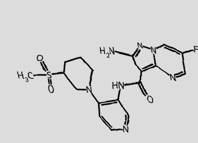 CS(=O)(=O)C1CCCN(c2ccncc2NC(=O)c2c(N)nn3cc(F)cnc23)C1